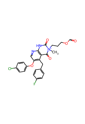 C[N+]1(CCCOC=O)C(=O)Nc2ncc(Oc3ccc(Cl)cc3)c(Cc3ccc(F)cc3)c2C1=O